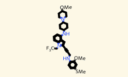 COc1cc(SC)ccc1NCC#Cc1cc2c(NC3CCC(N4CCC(OC)CC4)CC3)cccc2n1CC(F)(F)F